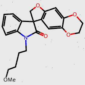 COCCCCN1C(=O)C2(COc3cc4c(cc32)OCCO4)c2ccccc21